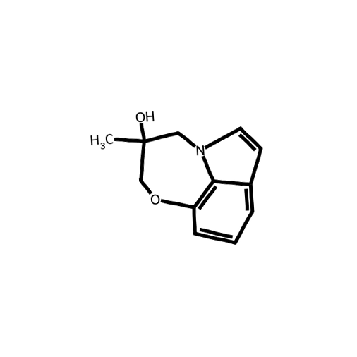 CC1(O)COc2cccc3ccn(c23)C1